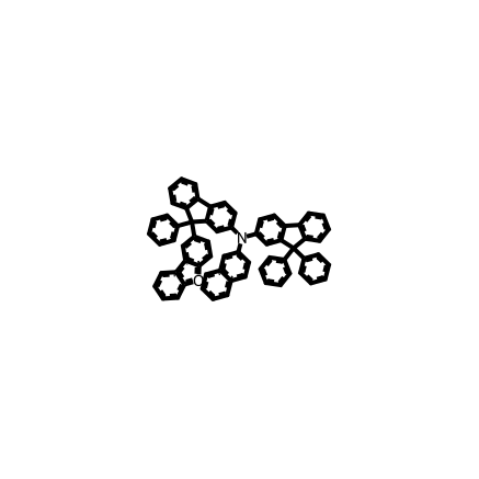 c1ccc(C2(c3ccccc3)c3ccccc3-c3ccc(N(c4ccc5c(c4)C(c4ccccc4)(c4ccc6oc7ccccc7c6c4)c4ccccc4-5)c4ccc5ccccc5c4)cc32)cc1